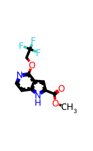 COC(=O)c1cc2c(OCC(F)(F)F)nccc2[nH]1